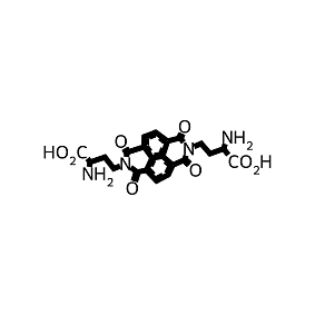 NC(CCN1C(=O)c2ccc3c4c(ccc(c24)C1=O)C(=O)N(CCC(N)C(=O)O)C3=O)C(=O)O